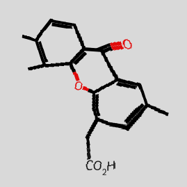 Cc1cc(CC(=O)O)c2oc3c(C)c(C)ccc3c(=O)c2c1